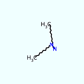 CCCCCCCCCCN(C#N)CCCCCCCCCC